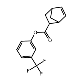 O=C(Oc1cccc(C(F)(F)F)c1)C1CC2C=CC1C2